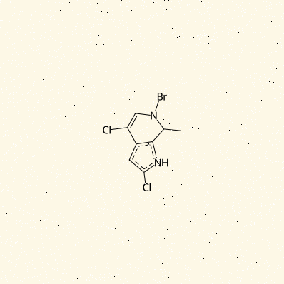 CC1c2[nH]c(Cl)cc2C(Cl)=CN1Br